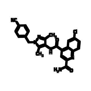 Cc1nn(Cc2ccc(C#N)cc2)c(C)c1NC(=O)c1cc(C(N)=O)nc2ccc(Cl)cc12